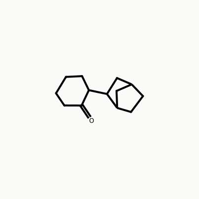 O=C1CCCCC1C1CC2CCC1C2